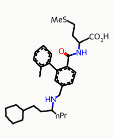 CCCC(CCC1CCCCC1)NCc1ccc(C(=O)NC(CCSC)C(=O)O)c(-c2ccccc2C)c1